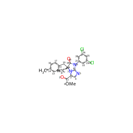 COC(=O)c1cnc2n1[C@](C)(Cc1ccc(C)cc1)C(=O)N2c1cc(Cl)cc(Cl)c1